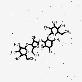 CCC1OC(OC2C(CO)OC(OC3C(O)C(C)CC(N)C3OC3OC(CC)C(O)C(O)C3N)C2O)C(N)C(O)C1O